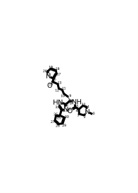 CN1CCC(C(=O)N[C@@H](CCCCCC(=O)c2ccccn2)c2nc(-c3ccccc3)c[nH]2)CC1